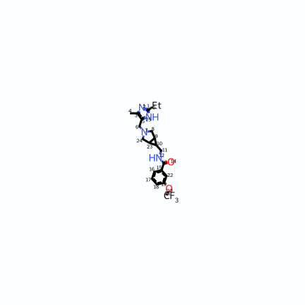 CCc1nc(C)c(CN2CC3C(CNC(=O)c4cccc(OC(F)(F)F)c4)C3C2)[nH]1